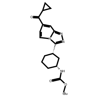 CC(C)(C)OC(=O)N[C@@H]1CCC[C@H](c2nnc3cc(C(=O)C4CC4)ccn23)C1